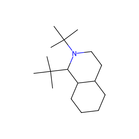 CC(C)(C)C1C2CCCCC2CCN1C(C)(C)C